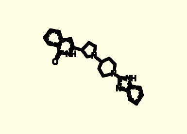 O=c1[nH]c(C2CCN(C3CCN(c4nc5ccccc5[nH]4)CC3)C2)cc2ccccc12